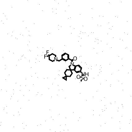 CS(=O)(=O)Nc1ccc2c(c1)C1(CCC3(CC3)CC1)CN2C(=O)c1cccc(CN2CCC(F)(F)CC2)c1